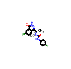 C[C@@H](c1n[nH]c(=O)c2cc(F)ccc12)N(C)C(=O)Nc1ccc(F)cc1